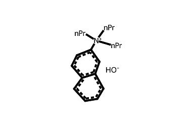 CCC[N+](CCC)(CCC)c1ccc2ccccc2c1.[OH-]